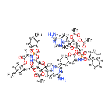 CC(C)C(=O)O[C@H]1[C@@H](OC(=O)C(C)C)[C@](C#N)(c2ccc3c(N)ncnn23)O[C@@H]1COP(=O)(N[C@@H](C)C(=O)OC1CCC(c2nc(N)c3ccc([C@]4(C#N)O[C@H](COP(=O)(N[C@@H](C)C(=O)O[C@H]5CC[C@H](C(F)(F)F)CC5)Oc5ccc(C(C)(C)C)cc5)[C@@H](OC(=O)C(C)C)[C@H]4OC(=O)C(C)C)n3n2)CC1)Oc1cccc2ccccc12